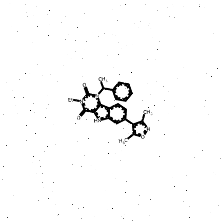 CCn1c(=O)c2[nH]c3cc(-c4c(C)noc4C)ccc3c2n(C(C)c2ccccc2)c1=O